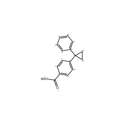 COC(=O)c1ccc(C2(c3ccccc3)CC2)cc1